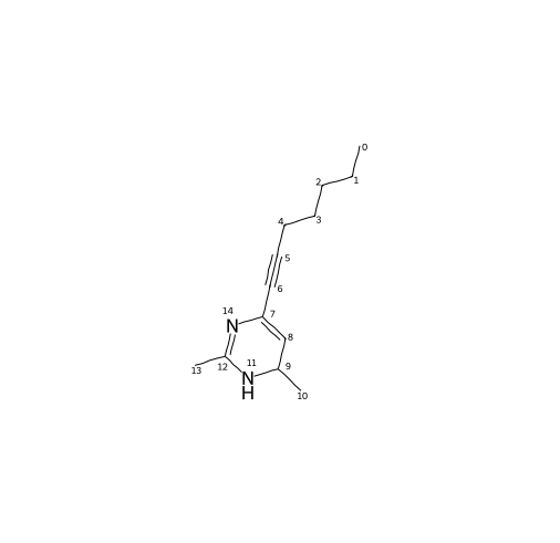 CCCCCC#CC1=CC(C)NC(C)=N1